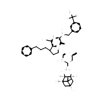 C=CC[C@H](NC(=O)[C@@H]1C[C@@](C)(CCCc2ccccc2)c2c(Cl)nc(NCc3cccc(C(F)(F)F)c3)c(=O)n21)B1O[C@@H]2C[C@@H]3C[C@@H](C3(C)C)[C@]2(C)O1